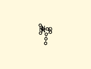 c1ccc(-c2ccc(-c3cccc(-c4cccc5oc6ccc(-c7nc(-c8ccccc8)nc(-c8ccccc8)n7)cc6c45)c3)cc2)cc1